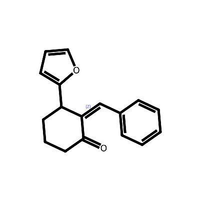 O=C1CCCC(c2ccco2)/C1=C/c1ccccc1